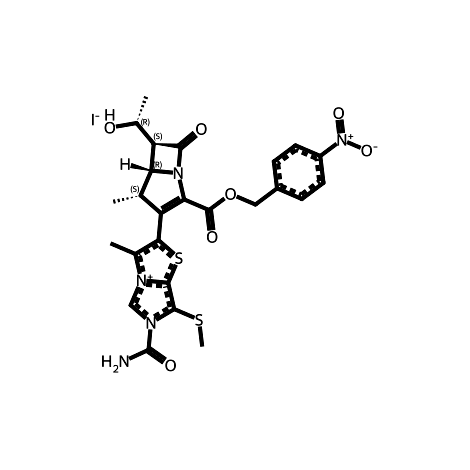 CSc1c2sc(C3=C(C(=O)OCc4ccc([N+](=O)[O-])cc4)N4C(=O)[C@H]([C@@H](C)O)[C@H]4[C@H]3C)c(C)[n+]2cn1C(N)=O.[I-]